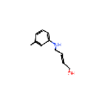 Cc1cccc(NCC=CCO)c1